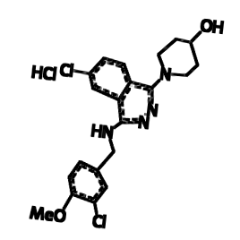 COc1ccc(CNc2nnc(N3CCC(O)CC3)c3ccc(Cl)cc23)cc1Cl.Cl